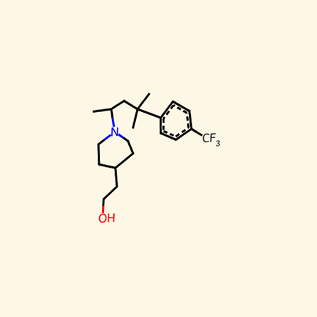 CC(CC(C)(C)c1ccc(C(F)(F)F)cc1)N1CCC(CCO)CC1